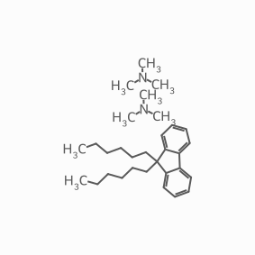 CCCCCCC1(CCCCCC)c2ccccc2-c2ccccc21.CN(C)C.CN(C)C